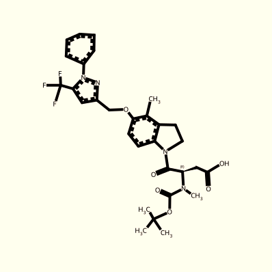 Cc1c(OCc2cc(C(F)(F)F)n(-c3ccccc3)n2)ccc2c1CCN2C(=O)[C@@H](CC(=O)O)N(C)C(=O)OC(C)(C)C